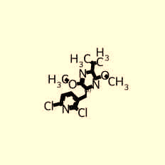 COC1=N[C@@H](Cc2ccc(Cl)nc2Cl)C(OC)=NC1C(C)C